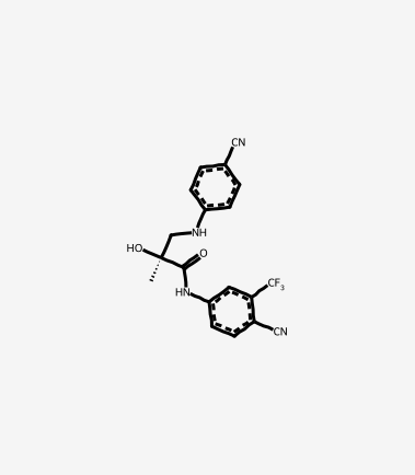 C[C@](O)(CNc1ccc(C#N)cc1)C(=O)Nc1ccc(C#N)c(C(F)(F)F)c1